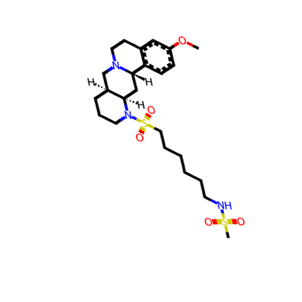 COc1ccc2c(c1)CCN1C[C@@H]3CCCN(S(=O)(=O)CCCCCCNS(C)(=O)=O)[C@@H]3C[C@@H]21